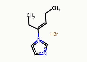 Br.CC/C=C(\CC)n1ccnc1